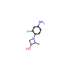 CC1C(O)CN1c1ccc(N)cc1F